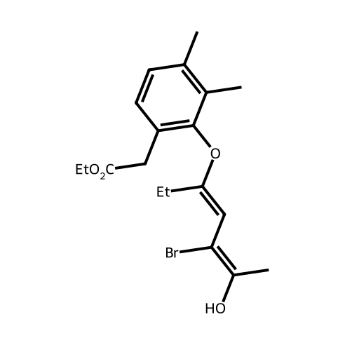 CCOC(=O)Cc1ccc(C)c(C)c1O/C(=C/C(Br)=C(\C)O)CC